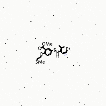 CC/C=C\C(NSc1ccc(OCCSC)c(C(=O)OC)c1)=C(C)C